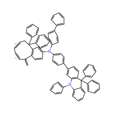 C=C1/C=C\C=C/CC(c2ccccc2)(c2ccccc2)c2cc(N(c3ccc(-c4ccccc4)cc3)c3ccc(-c4ccc5c(c4)N(c4ccccc4)c4ccccc4C5(c4ccccc4)c4ccccc4)cc3)ccc21